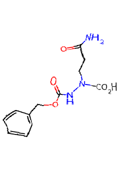 NC(=O)CCN(NC(=O)OCc1ccccc1)C(=O)O